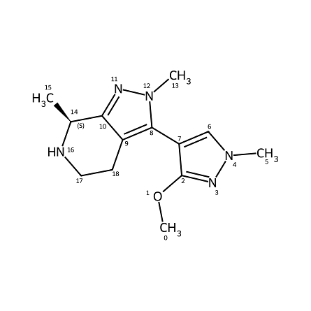 COc1nn(C)cc1-c1c2c(nn1C)[C@H](C)NCC2